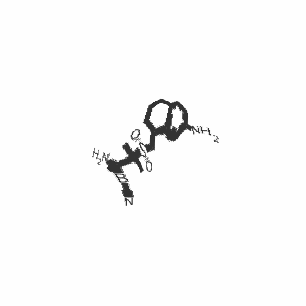 CC(C)(C(N)=BC#N)S(=O)(=O)CC1CCCc2ccc(N)cc21